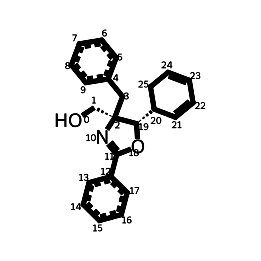 OC[C@@]1(Cc2ccccc2)N=C(c2ccccc2)O[C@H]1C1C=CC=CC1